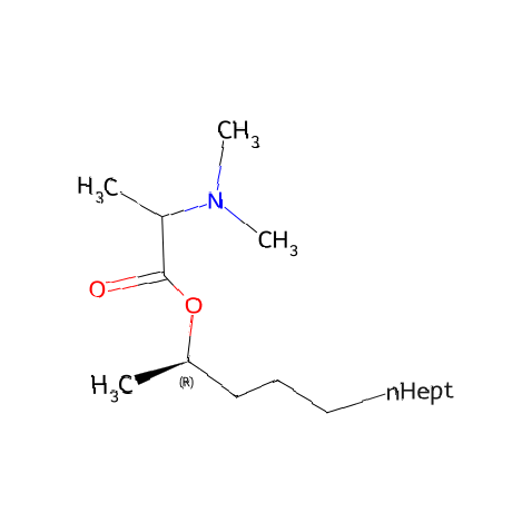 CCCCCCCCCC[C@@H](C)OC(=O)C(C)N(C)C